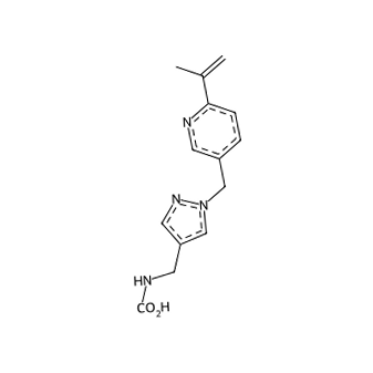 C=C(C)c1ccc(Cn2cc(CNC(=O)O)cn2)cn1